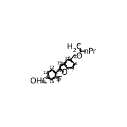 C=C(CCC)OCc1ccc2oc(-c3ccc(C=O)cc3F)cc2c1